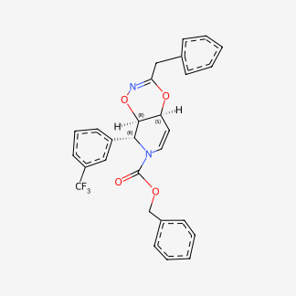 O=C(OCc1ccccc1)N1C=C[C@@H]2OC(Cc3ccccc3)=NO[C@@H]2[C@H]1c1cccc(C(F)(F)F)c1